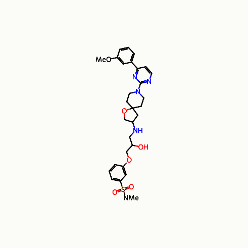 CNS(=O)(=O)c1cccc(OCC(O)CNC2COC3(CCN(c4nccc(-c5cccc(OC)c5)n4)CC3)C2)c1